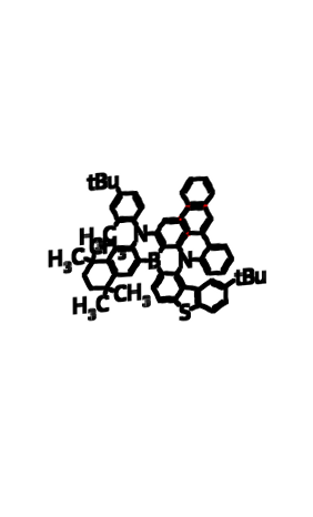 Cc1cc(C(C)(C)C)ccc1N1c2cc3c(cc2B2c4ccc5sc6ccc(C(C)(C)C)cc6c5c4N(c4ccccc4-c4ccccc4)c4cc(-c5ccccc5)cc1c42)C(C)(C)CCC3(C)C